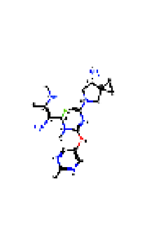 C=C(/N=C(/Oc1cnc(C)nc1)N(C)C(F)C(N)=C(C)NC)N1C[C@H](N)C2(CC2)C1